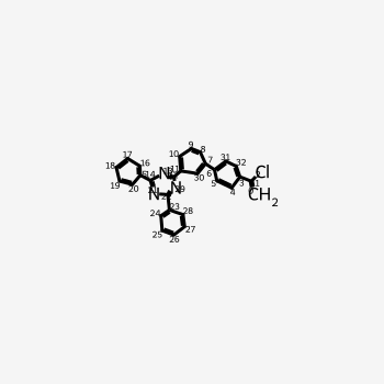 C=C(Cl)c1ccc(-c2cccc(-c3nc(-c4ccccc4)nc(-c4ccccc4)n3)c2)cc1